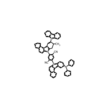 CC1Cc2c(c3c4ccccc4ccc3n2-c2cc(C#N)c(-n3c4ccc(N(c5ccccc5)c5ccccc5)cc4c4c5ccccc5ccc43)cc2C#N)C=C1n1c2ccccc2c2ccccc21